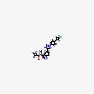 O=C(Nc1c[nH]c2ccc(-c3cnn(-c4ccc(C5CC(F)(F)C5)cc4)c3)cc12)C1CCC1